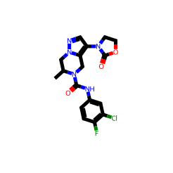 CC1Cn2ncc(N3CCOC3=O)c2CN1C(=O)Nc1ccc(F)c(Cl)c1